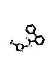 O=C(Nc1ncc(NI)s1)c1ccccc1-c1ccccc1